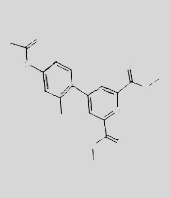 COC(=O)c1cc(-c2ccc(NC(C)=O)cc2C)cc(C(=O)OC)n1